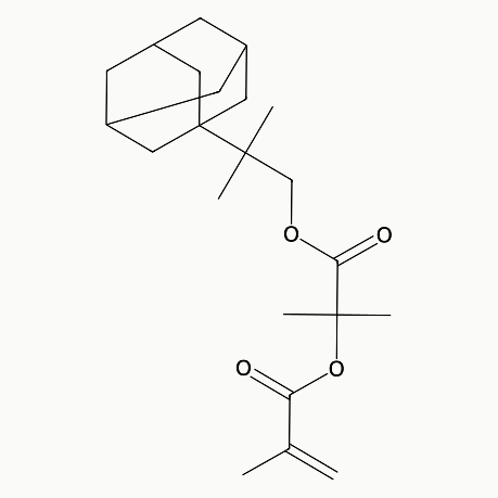 C=C(C)C(=O)OC(C)(C)C(=O)OCC(C)(C)C12CC3CC(CC(C3)C1)C2